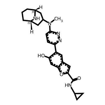 CN(c1ccc(-c2cc3cc(C(=O)NC4CC4)oc3cc2O)nn1)C1C[C@H]2CCC[C@@H](C1)N2